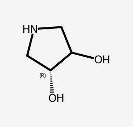 OC1CNC[C@H]1O